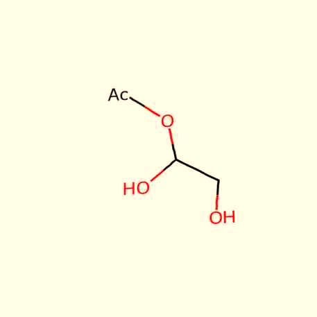 CC(=O)OC(O)CO